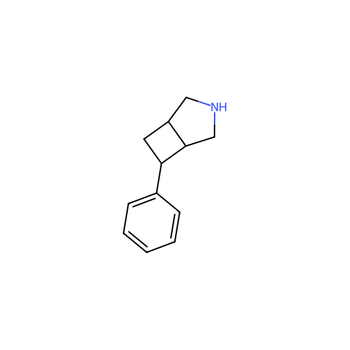 c1ccc(C2CC3CNCC32)cc1